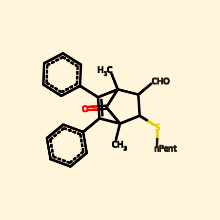 CCCCCSC1C(C=O)C2(C)C(=O)C1(C)C(c1ccccc1)=C2c1ccccc1